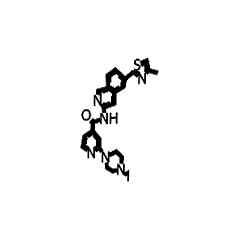 Cc1csc(-c2ccc3cnc(NC(=O)c4ccnc(N5CCN(I)CC5)c4)cc3c2)n1